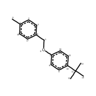 Cc1ccc(COc2ccc(C(C)(C)C)cc2)cc1